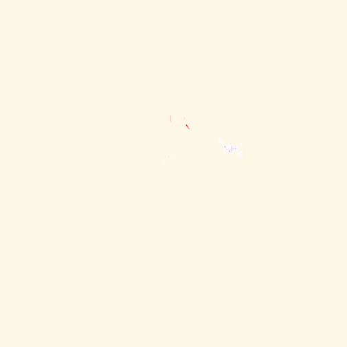 Cc1ccc(OC[C@@H](O)C(C)N)c2c1CCC2